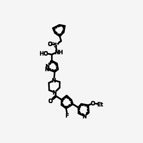 CCOc1cncc(-c2ccc(C(=O)N3CCN(c4ccc(C(O)N[S+]([O-])Cc5ccccc5)nn4)CC3)cc2F)c1